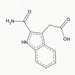 NC(=O)c1[nH]c2ccccc2c1CC(=O)O